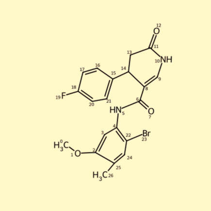 COc1cc(NC(=O)C2=CNC(=O)CC2c2ccc(F)cc2)c(Br)cc1C